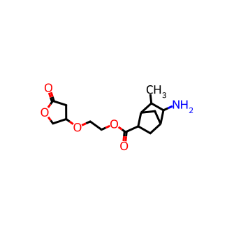 CC1C(N)C2CC(C(=O)OCCOC3COC(=O)C3)C1C2